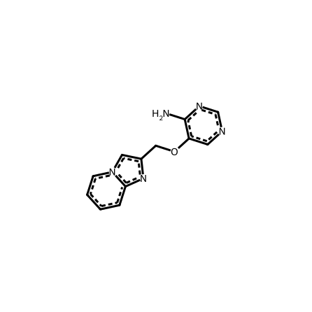 Nc1ncncc1OCc1cn2ccccc2n1